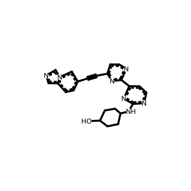 OC1CCC(Nc2nccc(-c3nccc(C#Cc4ccc5cncn5c4)n3)n2)CC1